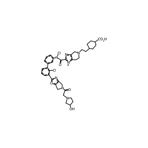 Cn1c(C(=O)N(Cl)c2cccc(-c3cccc(-c4nc5c(o4)CN(C(=O)CN4CCC(O)C4)C5)c3Cl)c2)nc2c1CCN(CCC1CCC(C(=O)O)CC1)C2